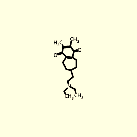 CCN(CC)CCC1CCC2=C(CC1)C(=O)C(C)=C(C)C2=O